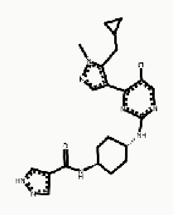 Cn1ncc(-c2nc(N[C@H]3CC[C@H](NC(=O)c4cn[nH]c4)CC3)ncc2Cl)c1CC1CC1